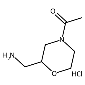 CC(=O)N1CCOC(CN)C1.Cl